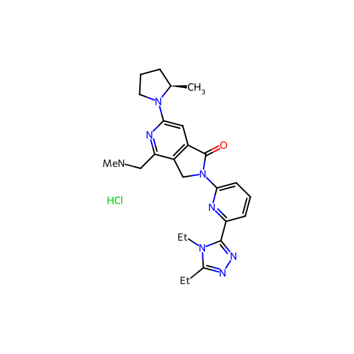 CCc1nnc(-c2cccc(N3Cc4c(cc(N5CCC[C@H]5C)nc4CNC)C3=O)n2)n1CC.Cl